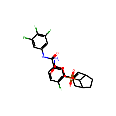 NC(=O)OCC1=CC2CCC(C1)C2S(=O)(=O)c1cc(C(=O)Nc2cc(F)c(F)c(F)c2)ccc1Cl